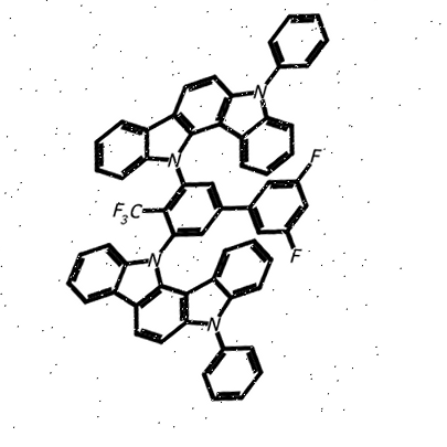 Fc1cc(F)cc(-c2cc(-n3c4ccccc4c4ccc5c(c6ccccc6n5-c5ccccc5)c43)c(C(F)(F)F)c(-n3c4ccccc4c4ccc5c(c6ccccc6n5-c5ccccc5)c43)c2)c1